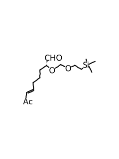 CC(=O)/C=C/CCC[C@H](C=O)OCOCC[Si](C)(C)C